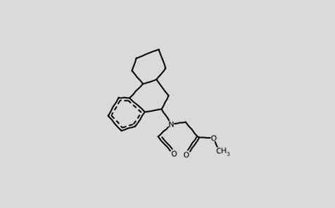 COC(=O)CN(C=O)C1CC2CCCCC2c2ccccc21